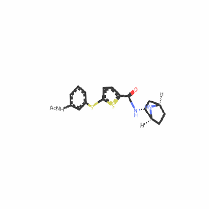 CC(=O)Nc1cccc(Sc2ccc(C(=O)N[C@@H]3C[C@H]4CC[C@@H]3N4)s2)c1